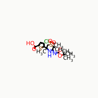 CC(C)(C)OC(=O)/N=C1/N[C@](C)(c2sc(C(=O)O)cc2Cl)CS(=O)(=O)C1(C)C